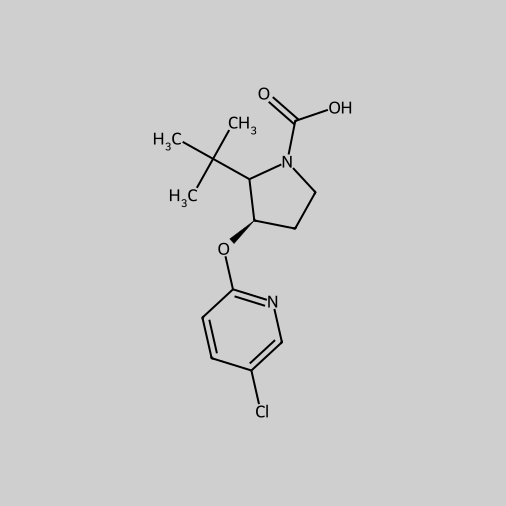 CC(C)(C)C1[C@H](Oc2ccc(Cl)cn2)CCN1C(=O)O